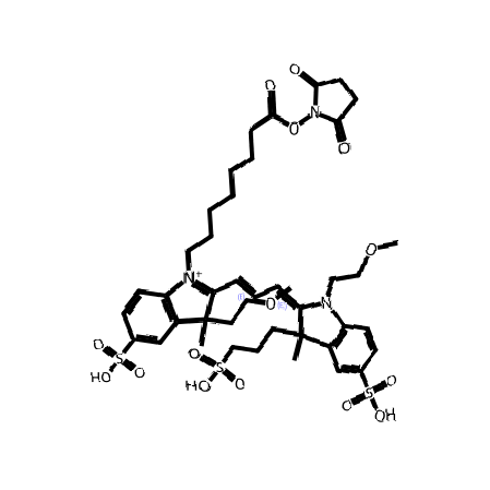 COCCN1/C(=C/C=C/C2=[N+](CCCCCCCC(=O)ON3C(=O)CCC3=O)c3ccc(S(=O)(=O)O)cc3C2(C)CCOC)C(C)(CCCS(=O)(=O)O)c2cc(S(=O)(=O)O)ccc21